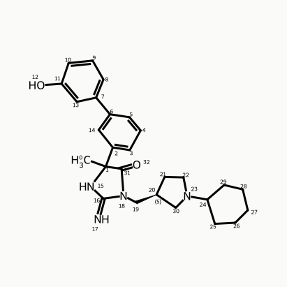 CC1(c2cccc(-c3cccc(O)c3)c2)NC(=N)N(C[C@H]2CCN(C3CCCCC3)C2)C1=O